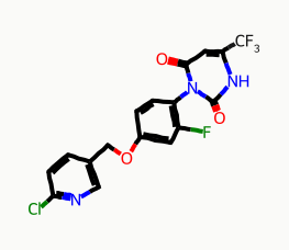 O=c1cc(C(F)(F)F)[nH]c(=O)n1-c1ccc(OCc2ccc(Cl)nc2)cc1F